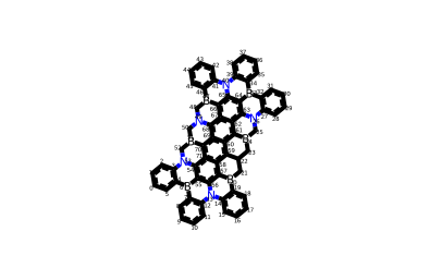 c1ccc2c(c1)B1c3ccccc3N3c4ccccc4B4CC5CB6CN7c8ccccc8B8c9ccccc9N9c%10ccccc%10B%10CN%11CB%12CN2c2c1c3c4c1c5c3c6c4c7c8c9c%10c4c%11c3c%12c21